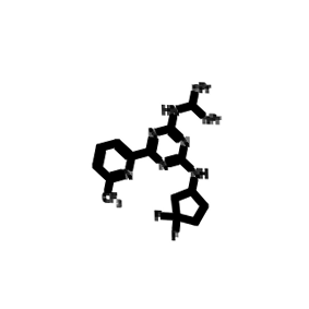 CCCC(CCC)Nc1nc(NC2CCC(F)(F)C2)nc(-c2cccc(C(F)(F)F)n2)n1